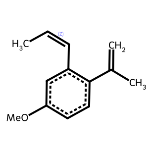 C=C(C)c1ccc(OC)cc1/C=C\C